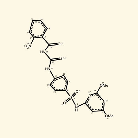 COc1cc(NS(=O)(=O)c2ccc(NC(=S)NC(=O)c3ccccc3[N+](=O)[O-])cc2)nc(OC)n1